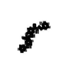 Cc1ncc(C(=O)NCCN2CCCC[C@H]2C)cc1Nc1nn(C)c2nc(Nc3cncnc3)ncc12